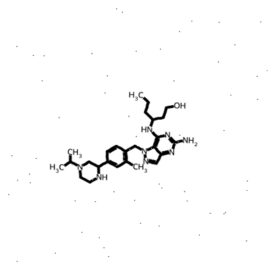 CCCC(CCO)Nc1nc(N)nc2cnn(Cc3ccc(C4CN(C(C)C)CCN4)cc3C)c12